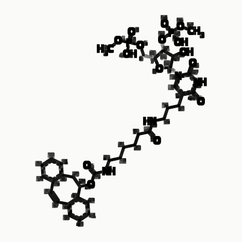 COP(=O)(O)OC[C@H]1O[C@@H](n2cc(CCCNC(=O)CCCCCNC(=O)OC3Cc4ccccc4C#Cc4ccccc43)c(=O)[nH]c2=O)C(O)[C@H]1OP(=O)(O)OC